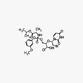 COc1cccc(OP(=O)(N[C@@H](C)C(=O)OC(C)C)OC[C@@H](O[C@H](CBr)n2ccc(=O)[nH]c2=O)[C@@H](O)Cl)c1